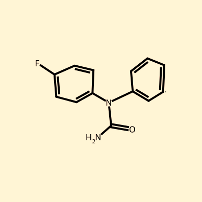 NC(=O)N(c1c[c]ccc1)c1ccc(F)cc1